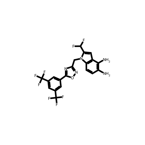 Nc1ccc2c(cc(C(F)F)n2Cc2noc(-c3cc(C(F)(F)F)cc(C(F)(F)F)c3)n2)c1N